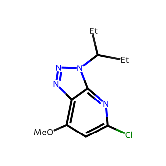 CCC(CC)n1nnc2c(OC)cc(Cl)nc21